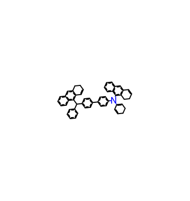 C1=CC(N(c2ccc(-c3ccc(C(c4ccccc4)c4c5c(cc6ccccc46)CCC=C5)cc3)cc2)c2c3c(cc4ccccc24)C=CCC3)=CCC1